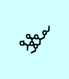 CCOCC(COCC)OC(=O)OC(C)Cl